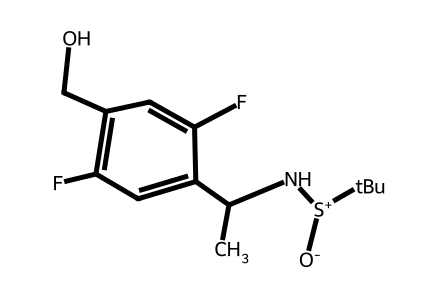 CC(N[S+]([O-])C(C)(C)C)c1cc(F)c(CO)cc1F